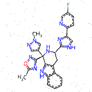 Cc1nc(C2(c3cnn(C)c3)NC(c3nc(-c4ccc(F)cn4)c[nH]3)Cc3c2[nH]c2ccccc32)no1